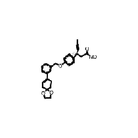 CC#C[C@@H](CC(=O)N=O)c1ccc(OCc2cccc(C3=CCC4(CC3)OCCO4)c2)cc1